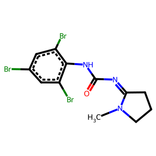 CN1CCCC1=NC(=O)Nc1c(Br)cc(Br)cc1Br